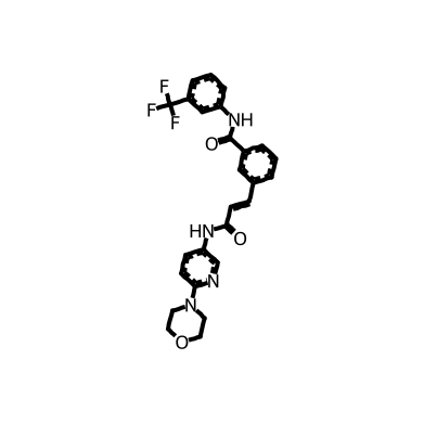 O=C(/C=C/c1cccc(C(=O)Nc2cccc(C(F)(F)F)c2)c1)Nc1ccc(N2CCOCC2)nc1